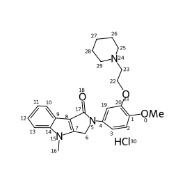 COc1ccc(N2Cc3c(c4ccccc4n3C)C2=O)cc1OCCN1CCCCC1.Cl